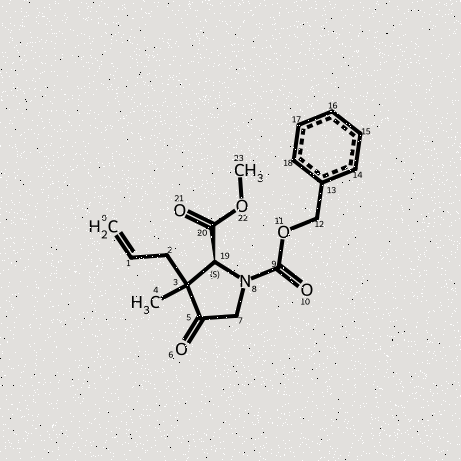 C=CCC1(C)C(=O)CN(C(=O)OCc2ccccc2)[C@@H]1C(=O)OC